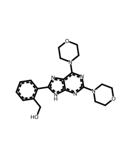 OCc1ccccc1-c1nc2c(N3CCOCC3)nc(N3CCOCC3)nc2[nH]1